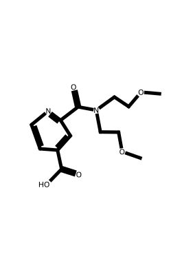 COCCN(CCOC)C(=O)c1cc(C(=O)O)ccn1